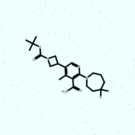 Cc1c(C2CN(C(=O)OC(C)(C)C)C2)cnc(N2CCCC(F)(F)CC2)c1C(N)=O